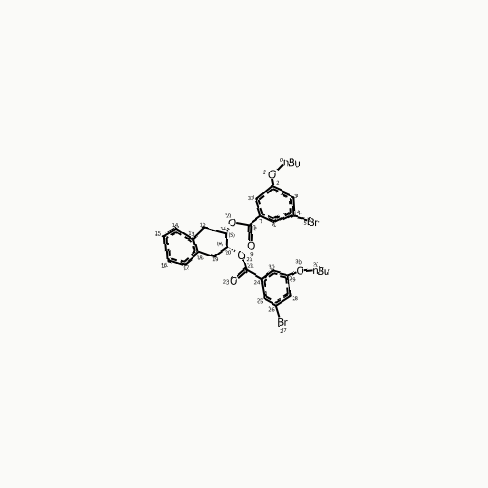 CCCCOc1cc(Br)cc(C(=O)O[C@H]2Cc3ccccc3C[C@H]2OC(=O)c2cc(Br)cc(OCCCC)c2)c1